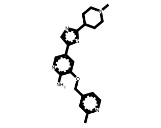 Cc1cc(COc2cc(-c3cnc(C4CCN(C)CC4)s3)cnc2N)ccn1